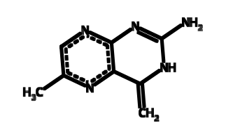 C=C1NC(N)=Nc2ncc(C)nc21